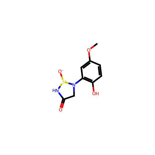 COc1ccc(O)c(N2CC(=O)N[S+]2[O-])c1